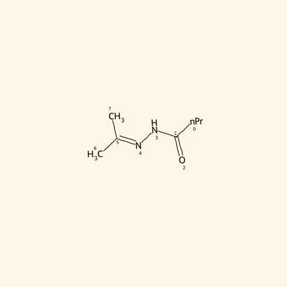 CCCC(=O)NN=C(C)C